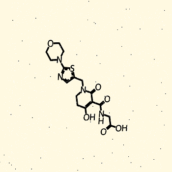 O=C(O)CNC(=O)C1=C(O)CCN(Cc2cnc(N3CCOCC3)s2)C1=O